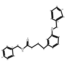 O=C(CCCc1cccc(OCc2ccccc2)c1)OCc1ccccc1